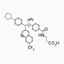 CCC[C@H](c1ccc(C(=O)NCCC(=O)O)cc1)C(c1ccc(C2CCCC2)cc1)c1cnc2cc(C(F)(F)F)ccc2c1